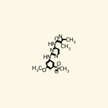 COc1cc(Nc2nccc(Nc3onc(C)c3C)n2)cc(S(C)(=O)=O)c1